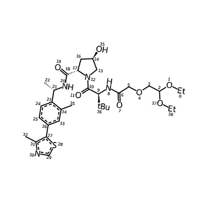 CCOC(COCC(=O)N[C@H](C(=O)N1C[C@H](O)C[C@H]1C(=O)N[C@@H](C)c1ccc(-c2scnc2C)cc1C)C(C)(C)C)OCC